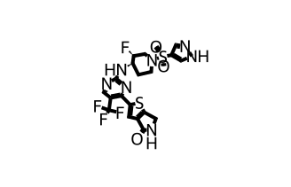 O=C1NCc2sc(-c3nc(N[C@H]4CCN(S(=O)(=O)c5cn[nH]c5)C[C@H]4F)ncc3C(F)(F)F)cc21